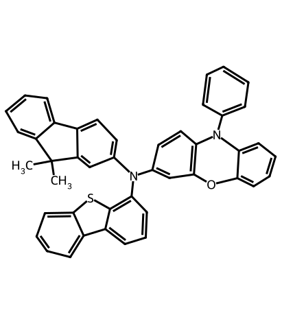 CC1(C)c2ccccc2-c2ccc(N(c3ccc4c(c3)Oc3ccccc3N4c3ccccc3)c3cccc4c3sc3ccccc34)cc21